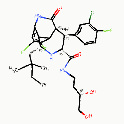 CC(C)CC(C)(C)C[C@H]1N[C@@H](C(=O)NCC[C@H](O)CO)[C@H](c2ccc(F)c(Cl)c2)[C@@H]2C(=O)NC3=CC(F)=C(F)C2C31